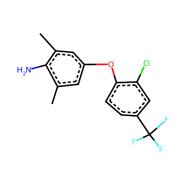 Cc1cc(Oc2ccc(C(F)(F)F)cc2Cl)cc(C)c1N